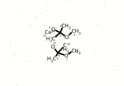 COC(C)(C)[O-].COC(C)(C)[O-].[Ca+2]